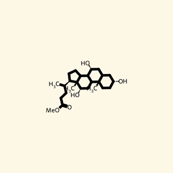 COC(=O)CCC(C)[C@H]1CCC2C3C(C[C@H](O)[C@@]21C)[C@@]1(C)CC[C@@H](O)CC1C[C@H]3O